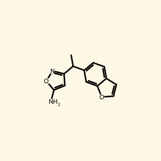 CC(c1ccc2ccoc2c1)c1cc(N)on1